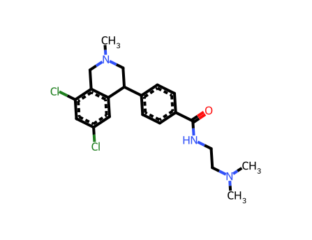 CN(C)CCNC(=O)c1ccc(C2CN(C)Cc3c(Cl)cc(Cl)cc32)cc1